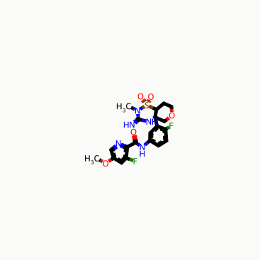 COc1cnc(C(=O)Nc2ccc(F)c(C34COCCC3S(=O)(=O)N(C)C(=N)N4)c2)c(F)c1